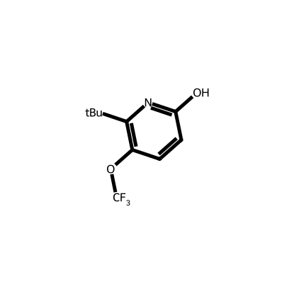 CC(C)(C)c1nc(O)ccc1OC(F)(F)F